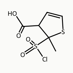 CC1(S(=O)(=O)Cl)SC=CC1C(=O)O